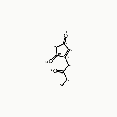 CCC(=O)CC1=CC(=O)CC1=O